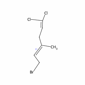 C/C(=C\CBr)CC=C(Cl)Cl